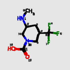 CNC1CC(C(F)(F)F)CN(C(=O)O)C1